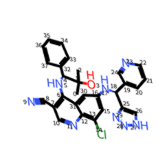 CC(C)(O)[C@@H](Nc1c(C#N)cnc2c(Cl)cc(N[C@@H](c3cccnc3)c3c[nH]nn3)cc12)c1ccccc1